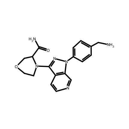 NCc1ccc(-n2nc(N3CCOCC3C(N)=O)c3ccncc32)cc1